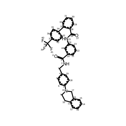 O=C(NCc1ccc(N2CCc3ccccc3C2)cc1)c1cccc(NC(=O)c2ccccc2-c2ccc(C(F)(F)F)cc2)c1